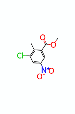 COC(=O)c1cc([N+](=O)[O-])cc(Cl)c1C